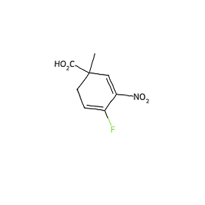 CC1(C(=O)O)C=C([N+](=O)[O-])C(F)=CC1